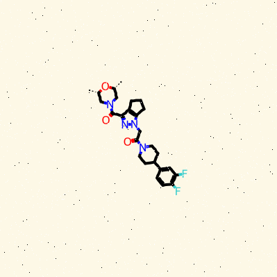 C[C@@H]1CN(C(=O)c2nn(CC(=O)N3CCC(c4ccc(F)c(F)c4)CC3)c3c2CCC3)C[C@H](C)O1